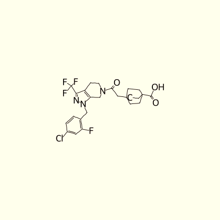 O=C(CC12CCC(C(=O)O)(CC1)CC2)N1CCc2c(C(F)(F)F)nn(Cc3ccc(Cl)cc3F)c2C1